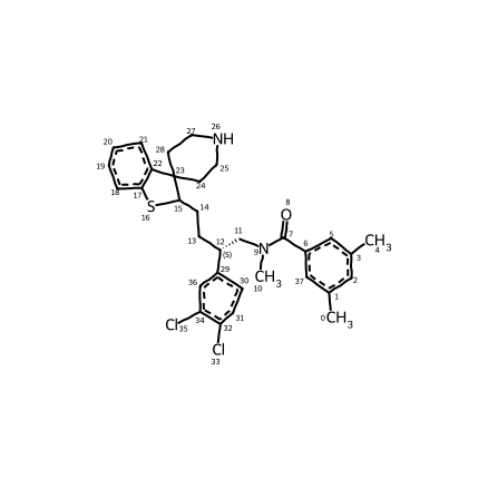 Cc1cc(C)cc(C(=O)N(C)C[C@@H](CCC2Sc3ccccc3C23CCNCC3)c2ccc(Cl)c(Cl)c2)c1